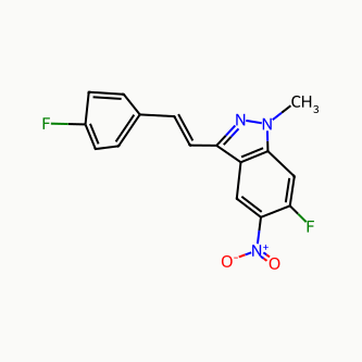 Cn1nc(/C=C/c2ccc(F)cc2)c2cc([N+](=O)[O-])c(F)cc21